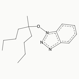 CCCCC(C)(CCCC)On1nnc2ccccc21